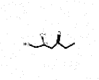 CCC(=O)C[C@H](O)CO